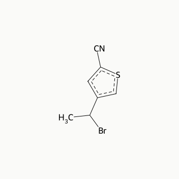 CC(Br)c1csc(C#N)c1